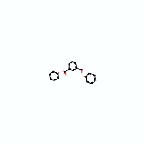 O=C(Oc1ccccc1)c1cccc(C(=O)Oc2ccccc2)c1